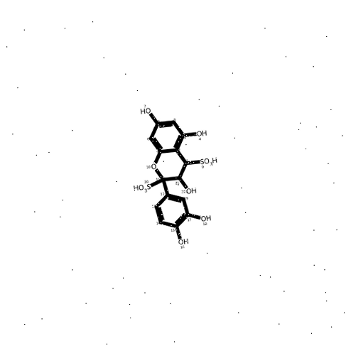 O=S(=O)(O)C1c2c(O)cc(O)cc2OC(c2ccc(O)c(O)c2)(S(=O)(=O)O)C1O